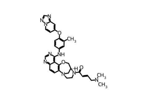 Cc1cc(Nc2ncnc3ccc4c(c23)OC[C@@H]2CN4CCN2C(=O)/C=C/CN(C)C)ccc1Oc1ccn2ncnc2c1